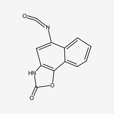 O=C=Nc1cc2[nH]c(=O)oc2c2ccccc12